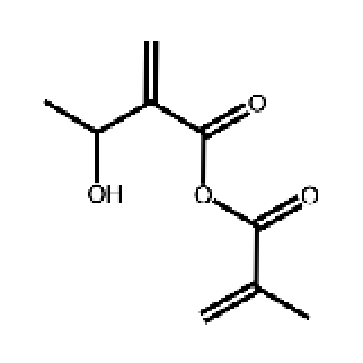 C=C(C)C(=O)OC(=O)C(=C)C(C)O